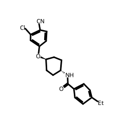 CCc1ccc(C(=O)N[C@H]2CC[C@H](Oc3ccc(C#N)c(Cl)c3)CC2)cc1